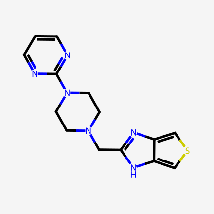 c1cnc(N2CCN(Cc3nc4cscc4[nH]3)CC2)nc1